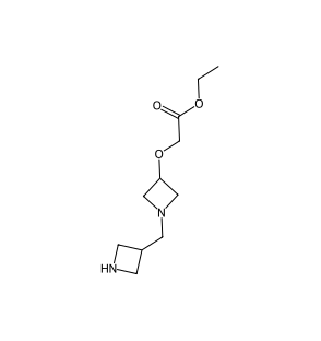 CCOC(=O)COC1CN(CC2CNC2)C1